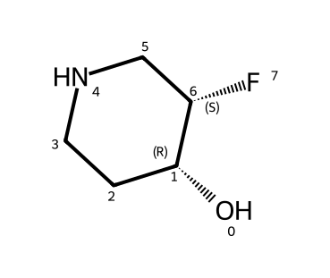 O[C@@H]1CCNC[C@@H]1F